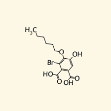 CCCCCCOc1c(O)cc(C(=O)O)c(C(=O)O)c1Br